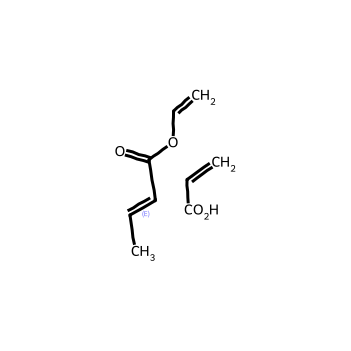 C=CC(=O)O.C=COC(=O)/C=C/C